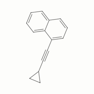 C(#CC1CC1)c1cccc2ccccc12